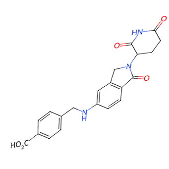 O=C1CCC(N2Cc3cc(NCc4ccc(C(=O)O)cc4)ccc3C2=O)C(=O)N1